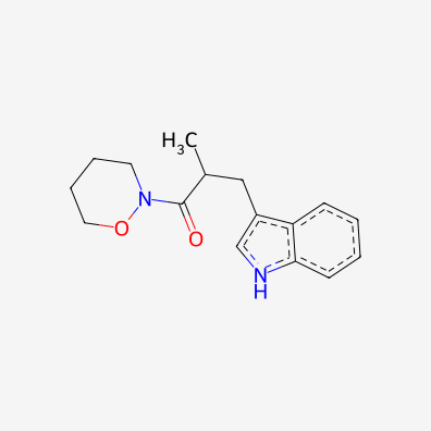 CC(Cc1c[nH]c2ccccc12)C(=O)N1CCCCO1